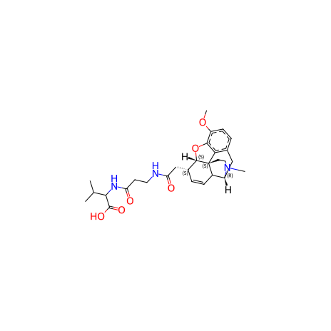 COc1ccc2c3c1O[C@H]1[C@@H](CC(=O)NCCC(=O)NC(C(=O)O)C(C)C)C=CC4[C@@H](C2)N(C)CC[C@@]341